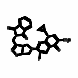 O=C(O)c1cn(C2CC2)c2nc(N3CC4ON=C(CN5C(=O)c6ccccc6C5=O)C4C3)c(F)cc2c1=O